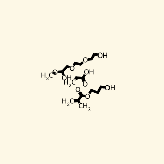 C=C(C)C(=O)OCCCO.C=CC(=O)O.COC(O)COCCOCCO